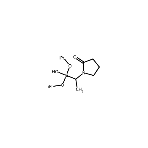 CC(C)O[Si](O)(OC(C)C)C(C)N1CCCC1=O